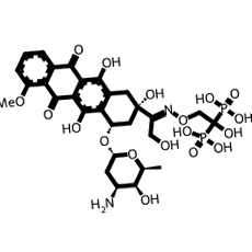 COc1cccc2c1C(=O)c1c(O)c3c(c(O)c1C2=O)C[C@@](O)(/C(CO)=N/OCC(O)(P(=O)(O)O)P(=O)(O)O)C[C@@H]3O[C@H]1C[C@H](N)[C@H](O)[C@H](C)O1